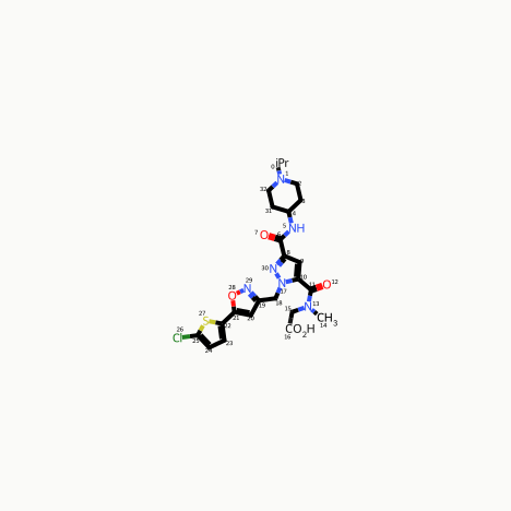 CC(C)N1CCC(NC(=O)c2cc(C(=O)N(C)CC(=O)O)n(Cc3cc(-c4ccc(Cl)s4)on3)n2)CC1